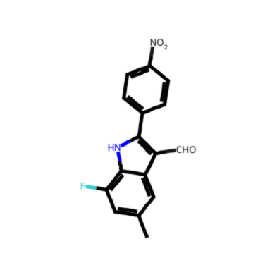 Cc1cc(F)c2[nH]c(-c3ccc([N+](=O)[O-])cc3)c(C=O)c2c1